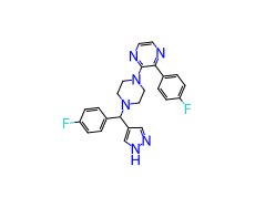 Fc1ccc(-c2nccnc2N2CCN(C(c3ccc(F)cc3)c3cn[nH]c3)CC2)cc1